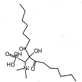 CCCCCCC(=O)C(O)(C(=O)CCCCCC)C([N+](C)(C)C)P(=O)(O)O